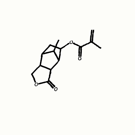 C=C(C)C(=O)OC1CC2C(C)C1C1C(=O)OCC21